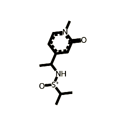 CC(N[S+]([O-])C(C)C)c1ccn(C)c(=O)c1